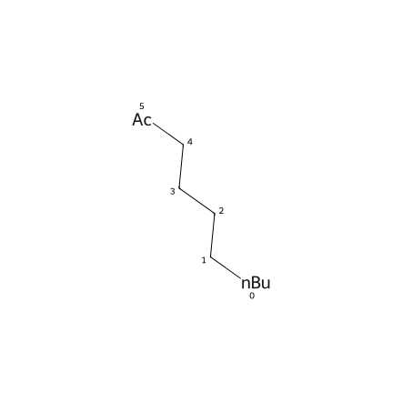 [CH2]CCCCCCCC(C)=O